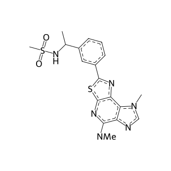 CNc1nc2sc(-c3cccc(C(C)NS(C)(=O)=O)c3)nc2c2c1ncn2C